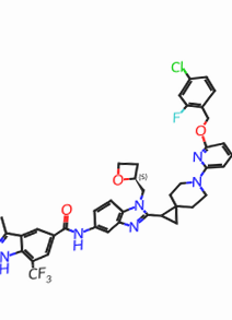 Cc1n[nH]c2c(C(F)(F)F)cc(C(=O)Nc3ccc4c(c3)nc(C3CC35CCN(c3cccc(OCc6ccc(Cl)cc6F)n3)CC5)n4C[C@@H]3CCO3)cc12